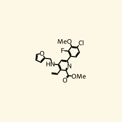 C=Cc1c(NCc2ccco2)cc(-c2ccc(Cl)c(OC)c2F)nc1C(=O)OC